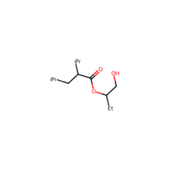 CCC(CO)OC(=O)C(CC(C)C)C(C)C